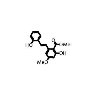 COC(=O)c1c(O)cc(OC)cc1C=Cc1ccccc1O